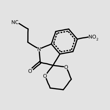 N#CCCN1C(=O)C2(OCCCO2)c2cc([N+](=O)[O-])ccc21